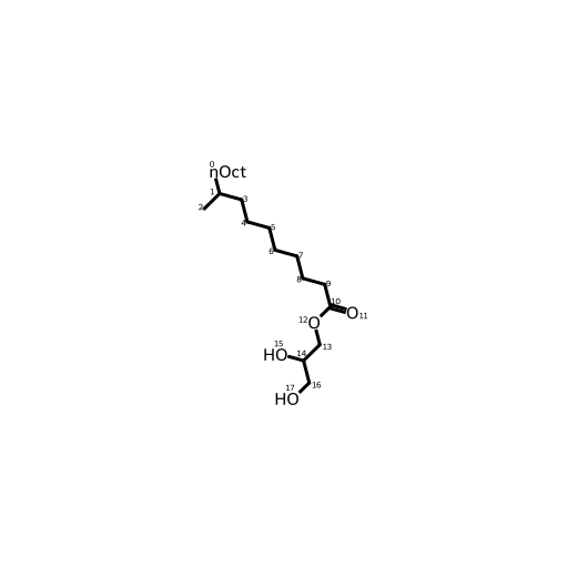 CCCCCCCCC(C)CCCCCCCC(=O)OCC(O)CO